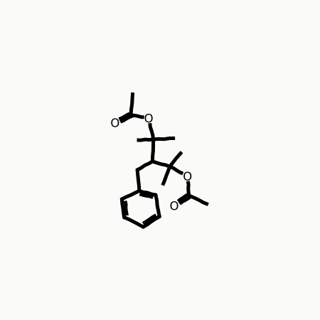 CC(=O)OC(C)(C)C(Cc1ccccc1)C(C)(C)OC(C)=O